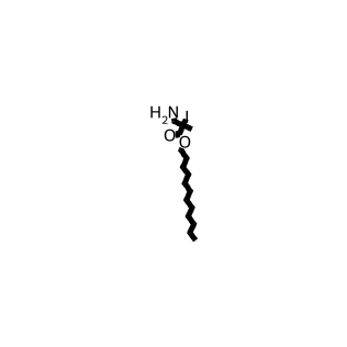 CCCCCCCCCCCCOC(=O)C(C)(I)CN